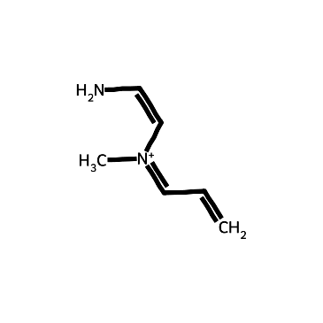 C=C/C=[N+](C)\C=C/N